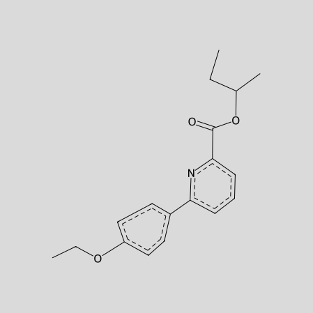 CCOc1ccc(-c2cccc(C(=O)OC(C)CC)n2)cc1